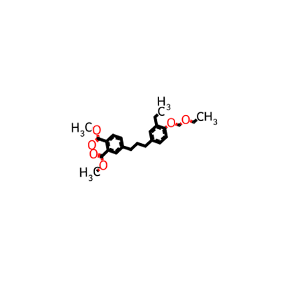 CCOCOc1ccc(CCCc2ccc(C(=O)OC)c(C(=O)OC)c2)cc1CC